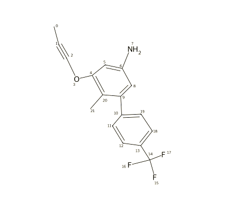 CC#COc1cc(N)cc(-c2ccc(C(F)(F)F)cc2)c1C